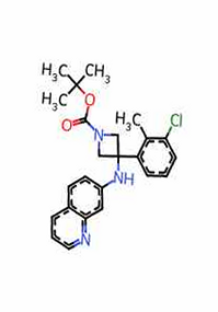 Cc1c(Cl)cccc1C1(Nc2ccc3cccnc3c2)CN(C(=O)OC(C)(C)C)C1